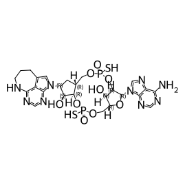 Nc1ncnc2c1ncn2[C@@H]1O[C@@H]2COP(=O)(S)O[C@@H]3[C@@H](COP(=O)(S)O[C@@H]1[C@@H]2O)C[C@@H](n1cc2c4c(ncnc41)NCCC2)[C@@H]3O